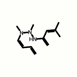 C=C/C=C\N(C)N(C)NC(=C)C=C(C)C